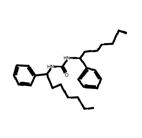 CCCCCCC(NC(=O)NC(CCCCCC)c1ccccc1)c1ccccc1